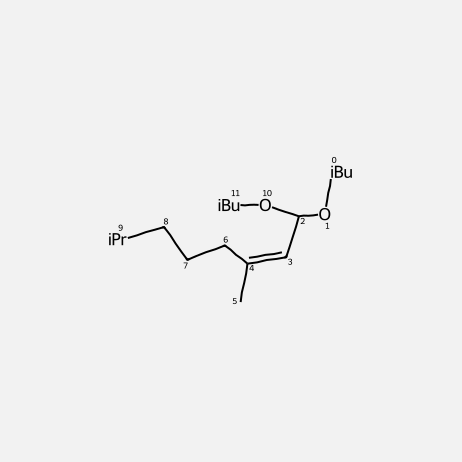 CCC(C)OC(C=C(C)CCCC(C)C)OC(C)CC